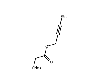 CCCCC#CCOC(=O)CCCCCCC